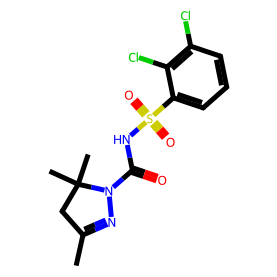 CC1=NN(C(=O)NS(=O)(=O)c2cccc(Cl)c2Cl)C(C)(C)C1